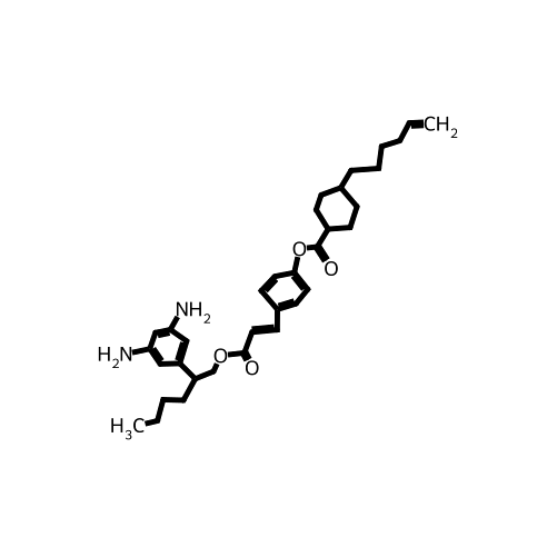 C=CCCCCC1CCC(C(=O)Oc2ccc(/C=C/C(=O)OCC(CCCC)c3cc(N)cc(N)c3)cc2)CC1